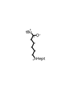 CCCCCCCCCCCCC([O])C(C)(C)C